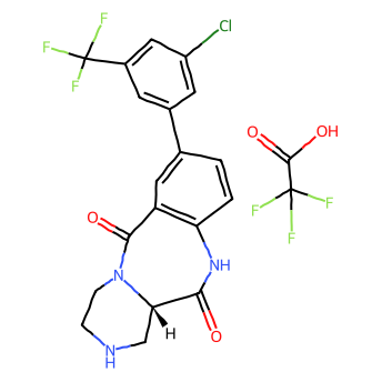 O=C(O)C(F)(F)F.O=C1Nc2ccc(-c3cc(Cl)cc(C(F)(F)F)c3)cc2C(=O)N2CCNC[C@@H]12